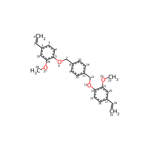 C=Cc1ccc(OCc2ccc(COc3ccc(C=C)cc3OC)cc2)c(OC)c1